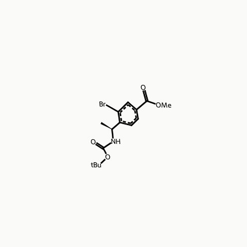 COC(=O)c1ccc([C@H](C)NC(=O)OC(C)(C)C)c(Br)c1